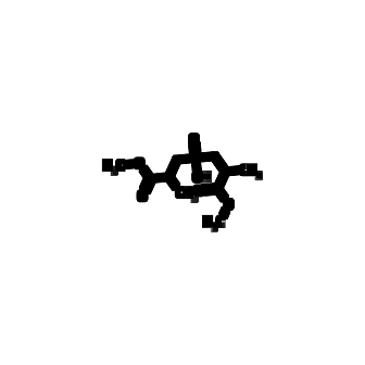 COC(=O)C(C)CP(=O)(O)CC(C)C(=O)OC